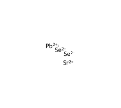 [Pb+2].[Se-2].[Se-2].[Sr+2]